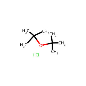 CC(C)(C)OC(C)(C)C.Cl